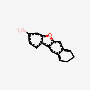 Bc1ccc2c(c1)oc1cc3c(cc12)=CCCC=3